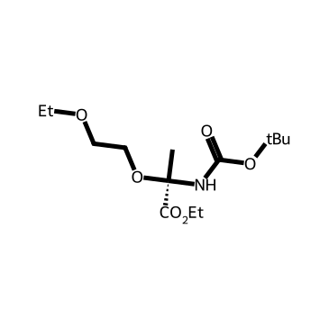 CCOCCO[C@@](C)(NC(=O)OC(C)(C)C)C(=O)OCC